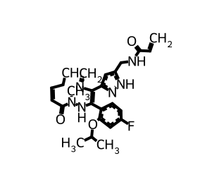 C=CC(=O)NCc1cc(/C(N=C)=C(/NN(C)C(=O)/C=C\CC)c2ccc(F)cc2OC(C)C)n[nH]1